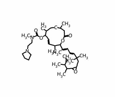 CCC(C)C(C)C1OC1CC(C)(C)/C=C/C=C(\C)C1OC(=O)CC(C)CCC(C)C(OC(=O)N(C)CCN2CCCC2)/C=C/C1C